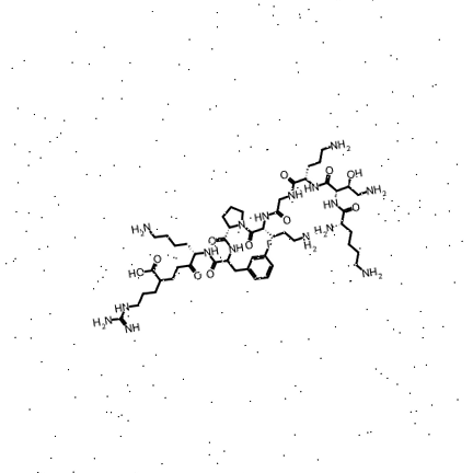 N=C(N)NCCCC(CCC(=O)[C@H](CCCCN)NC(=O)C(Cc1cccc(F)c1)NC(=O)[C@@H]1CCCN1C(=O)[C@@H](CCCN)NC(=O)CNC(=O)[C@H](CCCN)NC(=O)[C@@H](NC(=O)[C@@H](N)CCCCN)[C@@H](O)CN)C(=O)O